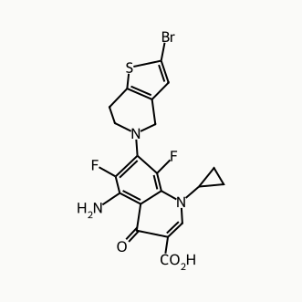 Nc1c(F)c(N2CCc3sc(Br)cc3C2)c(F)c2c1c(=O)c(C(=O)O)cn2C1CC1